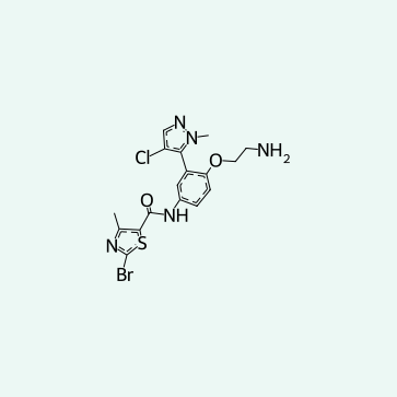 Cc1nc(Br)sc1C(=O)Nc1ccc(OCCN)c(-c2c(Cl)cnn2C)c1